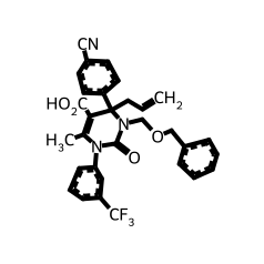 C=CCC1(c2ccc(C#N)cc2)C(C(=O)O)=C(C)N(c2cccc(C(F)(F)F)c2)C(=O)N1COCc1ccccc1